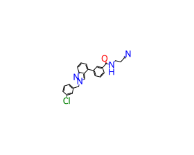 N#CCCNC(=O)c1cccc(-c2cccc3nn(Cc4cccc(Cl)c4)cc23)c1